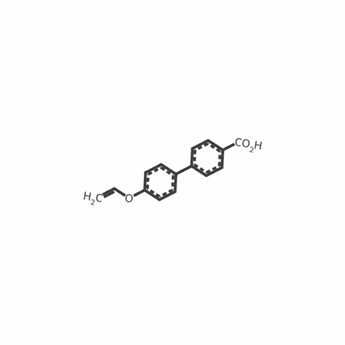 C=COc1ccc(-c2ccc(C(=O)O)cc2)cc1